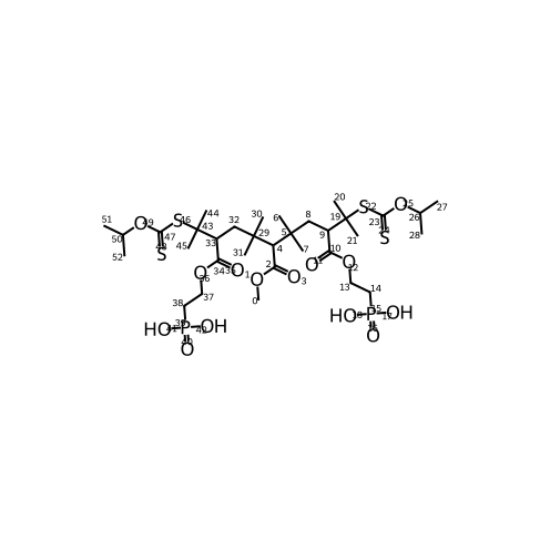 COC(=O)C(C(C)(C)CC(C(=O)OCCP(=O)(O)O)C(C)(C)SC(=S)OC(C)C)C(C)(C)CC(C(=O)OCCP(=O)(O)O)C(C)(C)SC(=S)OC(C)C